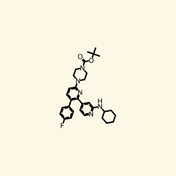 CC(C)(C)OC(=O)N1CCN(c2ccc(-c3ccc(F)cc3)c(-c3ccnc(NC4CCCCC4)c3)n2)CC1